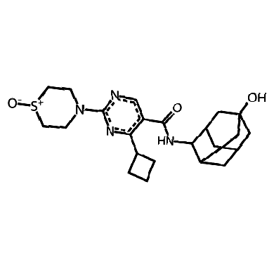 O=C(NC1C2CC3CC1CC(O)(C3)C2)c1cnc(N2CC[S+]([O-])CC2)nc1C1CCC1